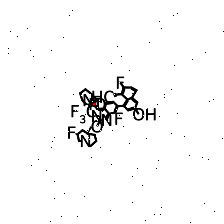 C#Cc1c(F)ccc2cc(O)cc(-c3ccc4c(N5CC6CCC(C5)N6C(=O)C(F)(F)F)nc(OC[C@@]56CCCN5C[C@H](F)C6)nc4c3F)c12